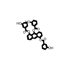 O=C(Oc1cccc2c(OC(=O)c3cccc(O)c3)c3c(OC(=O)c4cccc(O)c4)cccc3cc12)c1cccc(O)c1